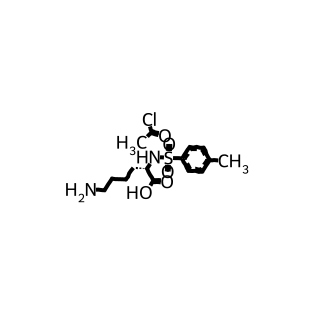 CC(=O)Cl.Cc1ccc(S(=O)(=O)N[C@@H](CCCCN)C(=O)O)cc1